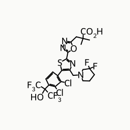 CC(C)(Cc1nnc(-c2nc(CN3CCCC(F)(F)C3)c(-c3ccc(C(O)(C(F)(F)F)C(F)(F)F)c(Cl)c3Cl)s2)o1)C(=O)O